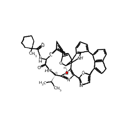 CC(C)[C@@H]1NC(=O)C(NC(=O)C2(C)CCCCC2)Cc2ccc3c(c2)C24c5cccc(c5N[C@H]2O3)-c2cccc3c2C(=CC3)c2cnc(o2)-c2nc1oc24